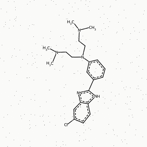 CN(C)CCN(CCN(C)C)c1cccc(-c2nc3cc(Cl)ccc3[nH]2)c1